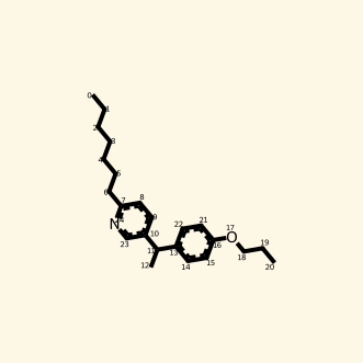 CCCCCCCc1ccc(C(C)c2ccc(OCCC)cc2)cn1